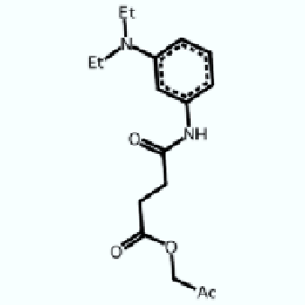 CCN(CC)c1cccc(NC(=O)CCC(=O)OCC(C)=O)c1